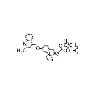 Cc1cc(COc2ccc(C[C@]3(c4nccs4)CC3C(=O)OC(C)(C)C)cc2)c2ccccc2n1